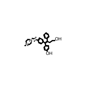 CN1CCN(CS(C)(C)c2ccc(/C(=C(/CCCO)c3ccccc3)c3ccc(O)cc3)cc2)CC1